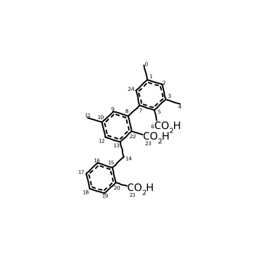 Cc1cc(C)c(C(=O)O)c(-c2cc(C)cc(Cc3ccccc3C(=O)O)c2C(=O)O)c1